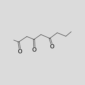 CCCC(=O)CC(=O)CC(C)=O